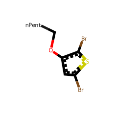 CCCCCCOc1cc(Br)sc1Br